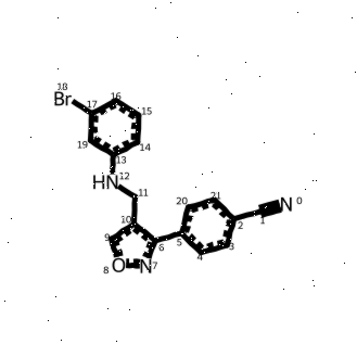 N#Cc1ccc(-c2nocc2CNc2cccc(Br)c2)cc1